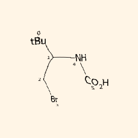 CC(C)(C)C(CBr)NC(=O)O